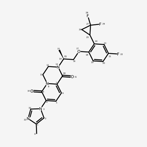 Cc1cn(-c2ccc3n(c2=O)CCN([C@@H](C)COc2ccc(F)cc2C2CC2(F)F)C3=O)cn1